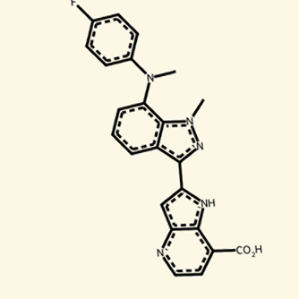 CN(c1ccc(F)cc1)c1cccc2c(-c3cc4nccc(C(=O)O)c4[nH]3)nn(C)c12